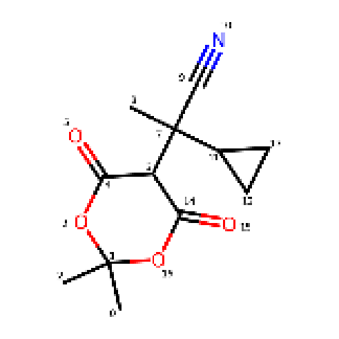 CC1(C)OC(=O)C(C(C)(C#N)C2CC2)C(=O)O1